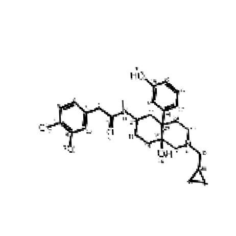 O=C(Cc1ccc(Cl)c(Cl)c1)NC1CCC2(O)CN(CC3CC3)CCC2(c2cccc(O)c2)C1